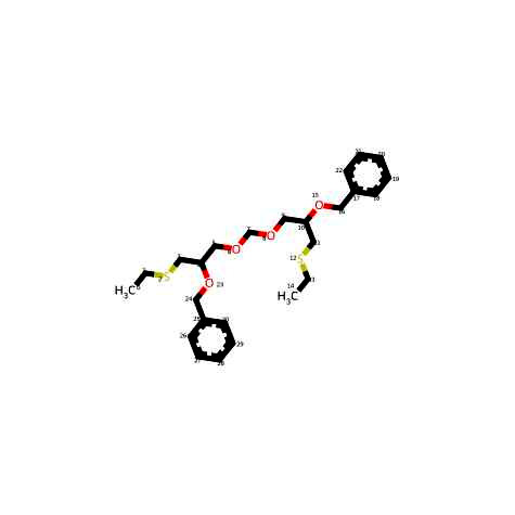 CCSCC(COCOCC(CSCC)OCc1ccccc1)OCc1ccccc1